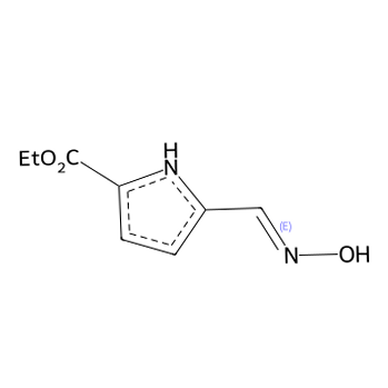 CCOC(=O)c1ccc(/C=N/O)[nH]1